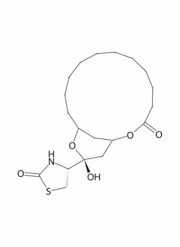 O=C1CCCCCCCCCCC2CC(C[C@](O)([C@@H]3CSC(=O)N3)O2)O1